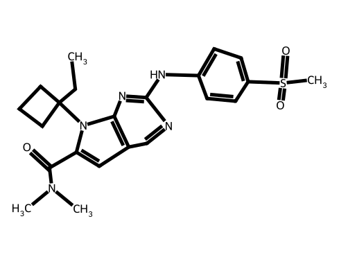 CCC1(n2c(C(=O)N(C)C)cc3cnc(Nc4ccc(S(C)(=O)=O)cc4)nc32)CCC1